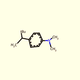 CC(c1ccc(N(C)C)cc1)C(C)(C)C